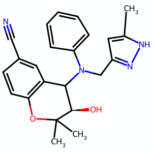 Cc1cc(CN(c2ccccc2)C2c3cc(C#N)ccc3OC(C)(C)[C@@H]2O)n[nH]1